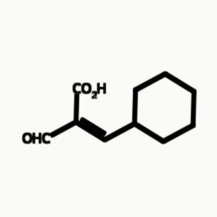 O=CC(=CC1CCCCC1)C(=O)O